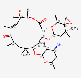 CC[C@H]1OC(=O)[C@H](C)[C@@H](O[C@H]2C[C@@](C)(OC)[C@@]3(CO3)[C@H](C)O2)[C@H](C)[C@@H](O[C@@H]2O[C@H](C)C[C@H](N)[C@H]2OC(C)=O)[C@@](C)(OC)C[C@@H](C)C(=O)/C(C)=C/[C@]1(C)O